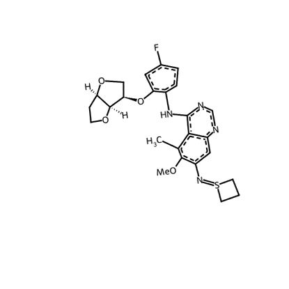 COc1c(N=S2CCC2)cc2ncnc(Nc3ccc(F)cc3O[C@@H]3CO[C@@H]4CCO[C@@H]43)c2c1C